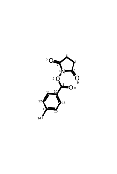 O=C(ON1C(=O)CCC1=O)c1ccc(I)cc1